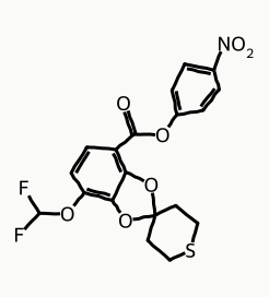 O=C(Oc1ccc([N+](=O)[O-])cc1)c1ccc(OC(F)F)c2c1OC1(CCSCC1)O2